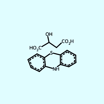 O=C(O)CC(O)C(=O)O.c1ccc2c(c1)Nc1ccccc1S2